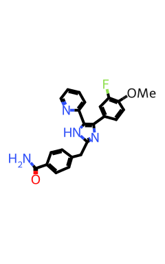 COc1ccc(-c2nc(Cc3ccc(C(N)=O)cc3)[nH]c2-c2ccccn2)cc1F